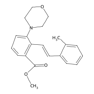 COC(=O)c1cccc(N2CCOCC2)c1C=Cc1ccccc1C